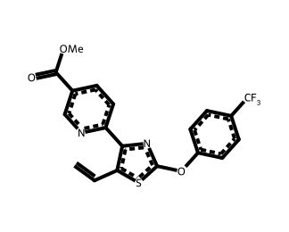 C=Cc1sc(Oc2ccc(C(F)(F)F)cc2)nc1-c1ccc(C(=O)OC)cn1